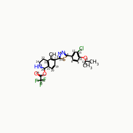 Cc1c(-c2nnc(-c3ccc(OC(C)C)c(Cl)c3)s2)ccc2c1CCNC2OC(=O)C(F)(F)F